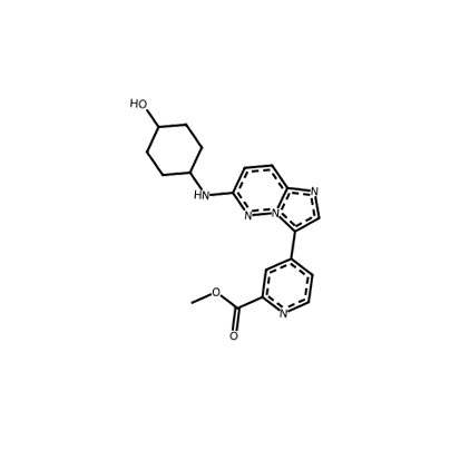 COC(=O)c1cc(-c2cnc3ccc(NC4CCC(O)CC4)nn23)ccn1